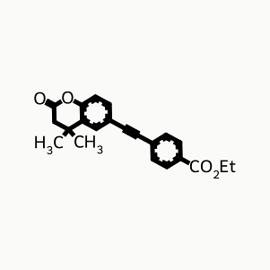 CCOC(=O)c1ccc(C#Cc2ccc3c(c2)C(C)(C)CC(=O)O3)cc1